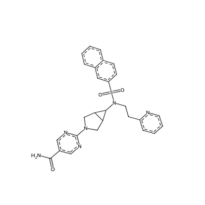 NC(=O)c1cnc(N2CC3C(C2)C3N(CCc2ccccn2)S(=O)(=O)c2ccc3ccccc3c2)nc1